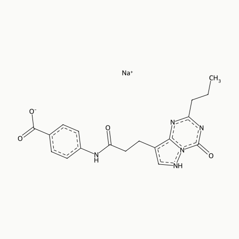 CCCc1nc(=O)n2[nH]cc(CCC(=O)Nc3ccc(C(=O)[O-])cc3)c2n1.[Na+]